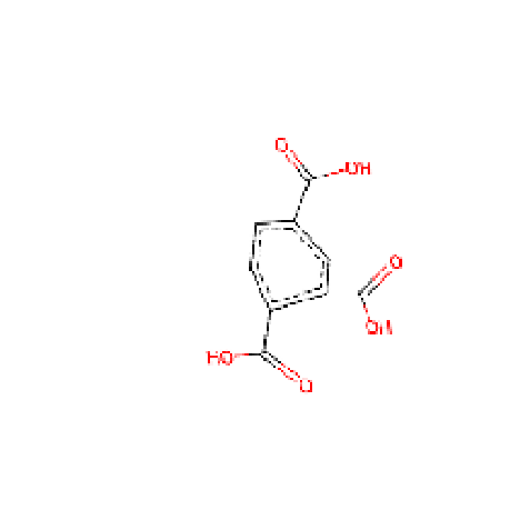 O=C(O)c1ccc(C(=O)O)cc1.O=CO